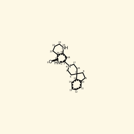 O=c1[nH]c(N2CCC3(CCc4ccccc43)CC2)cc2c1CCCN2